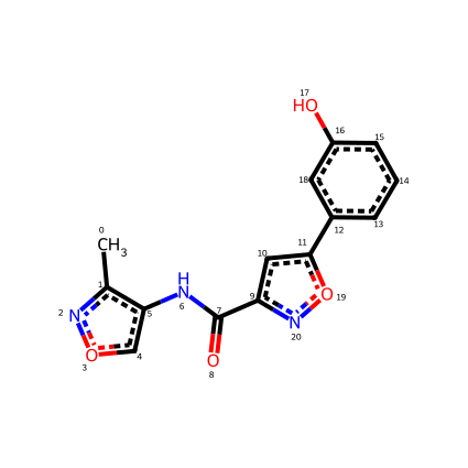 Cc1nocc1NC(=O)c1cc(-c2cccc(O)c2)on1